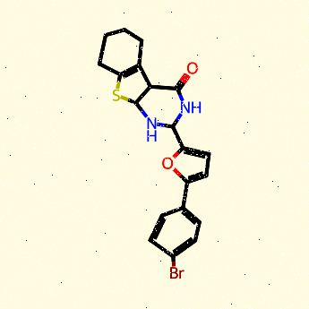 O=C1NC(c2ccc(-c3ccc(Br)cc3)o2)NC2SC3=C(CCCC3)C12